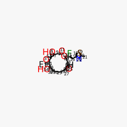 CC[C@H]1C(=O)C(C)(C)[C@@H](O)CC(=O)O[C@H](C(F)=Cc2csc(C)n2)C[C@H]2O[C@]2(C)CCC[C@H](C)[C@@H]1O